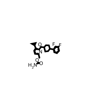 NC(=O)OCc1ccc(C2CC2)c(C(=O)C2CCC(c3cccc(F)c3F)CC2)n1